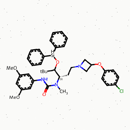 COc1cc(NC(=O)N(C)[C@@H](CCN2CC(Oc3ccc(Cl)cc3)C2)C(O[SiH](c2ccccc2)c2ccccc2)C(C)(C)C)cc(OC)c1